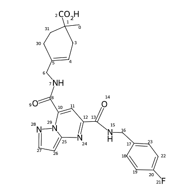 CC1(C(=O)O)CC=C(CNC(=O)c2cc(C(=O)NCc3ccc(F)cc3)nc3ccnn23)CC1